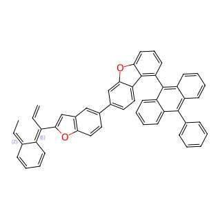 C=C/C(c1cc2cc(-c3ccc4c(c3)oc3cccc(-c5c6ccccc6c(-c6ccccc6)c6ccccc56)c34)ccc2o1)=c1/cccc/c1=C/C